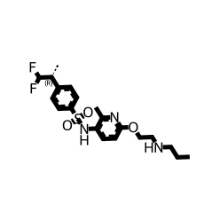 CCCNCCOc1ccc(NS(=O)(=O)c2ccc([C@@H](C)C(F)F)cc2)c(C)n1